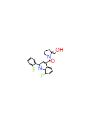 O=C(c1cc(-c2ccccc2F)nc2c(F)cccc12)N1CCC[C@H]1CO